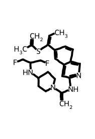 C=C(C)S/C(=C/C)c1ccc2cnc(NC(=C)N3CCC(NC(CF)CF)CC3)cc2c1